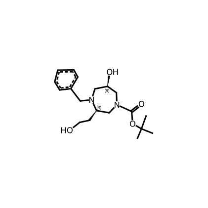 CC(C)(C)OC(=O)N1C[C@H](O)CN(Cc2ccccc2)[C@H](CCO)C1